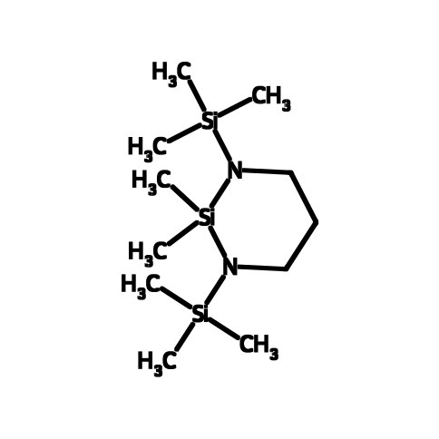 C[Si](C)(C)N1CCCN([Si](C)(C)C)[Si]1(C)C